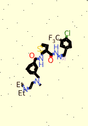 CCN(CC)CCN(C)Cc1cccc(C(=O)Nc2sccc2C(=O)N/N=C\c2ccc(Cl)c(C(F)(F)F)c2)c1